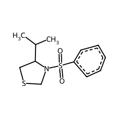 CC(C)C1CSCN1S(=O)(=O)c1ccccc1